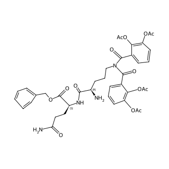 CC(=O)Oc1cccc(C(=O)N(CCC[C@@H](N)C(=O)N[C@@H](CCC(N)=O)C(=O)OCc2ccccc2)C(=O)c2cccc(OC(C)=O)c2OC(C)=O)c1OC(C)=O